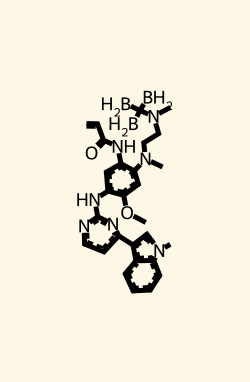 BC(B)(B)N(C)CCN(C)c1cc(OC)c(Nc2nccc(-c3cn(C)c4ccccc34)n2)cc1NC(=O)C=C